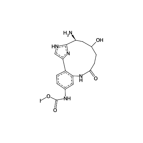 N[C@H]1CC(O)CCC(=O)Nc2cc(NC(=O)OI)ccc2-c2c[nH]c1n2